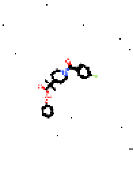 CC(C)(C(=O)OOc1ccccc1)C1=CCN(C(=O)c2ccc(F)cc2)CC1